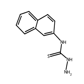 NNC(=S)Nc1ccc2ccccc2c1